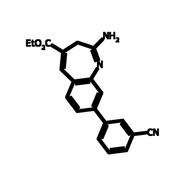 CCOC(=O)C1=Cc2ccc(-c3cccc(C#N)c3)cc2N=C(N)C1